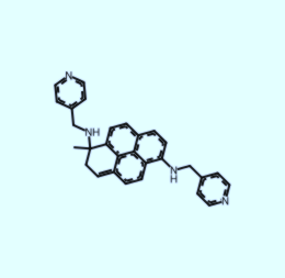 CC1(NCc2ccncc2)CC=c2ccc3c(NCc4ccncc4)ccc4ccc1c2c43